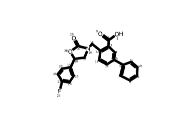 O=C(O)c1cc(-c2ccccc2)ccc1CN1CC(c2ccc(F)cc2)OC1=O